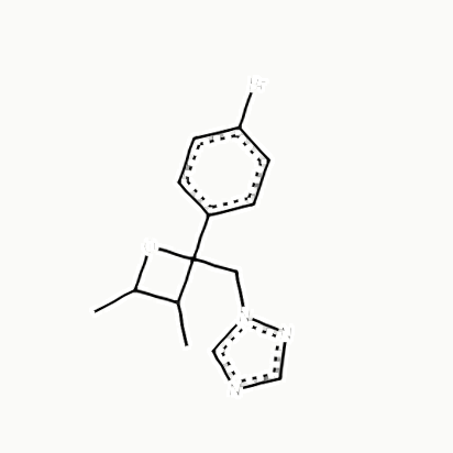 CC1OC(Cn2cncn2)(c2ccc(Br)cc2)C1C